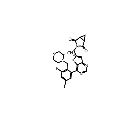 C[C@H]1CNCCN1Cc1c(F)cc(F)cc1-c1ncnc2cc(CN3C(=O)C4CC4C3=O)sc12